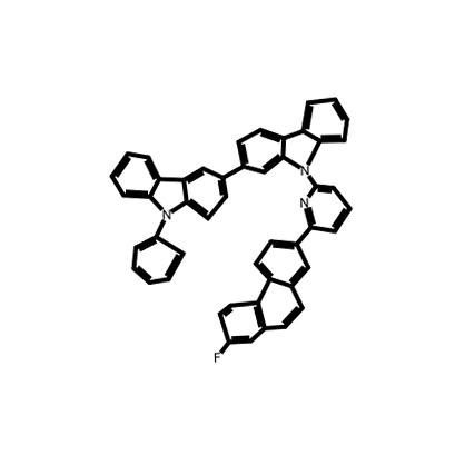 Fc1ccc2c(ccc3cc(-c4cccc(-n5c6ccccc6c6ccc(-c7ccc8c(c7)c7ccccc7n8-c7ccccc7)cc65)n4)ccc32)c1